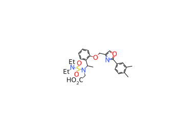 CCN(CC)S(=O)(=O)N(CC(=O)O)C(C)c1ccccc1OCc1coc(-c2ccc(C)c(C)c2)n1